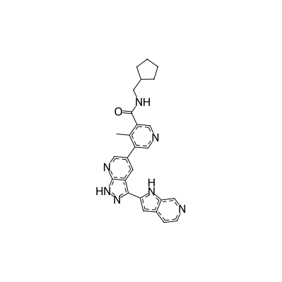 Cc1c(C(=O)NCC2CCCC2)cncc1-c1cnc2[nH]nc(-c3cc4ccncc4[nH]3)c2c1